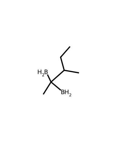 BC(B)(C)C(C)CC